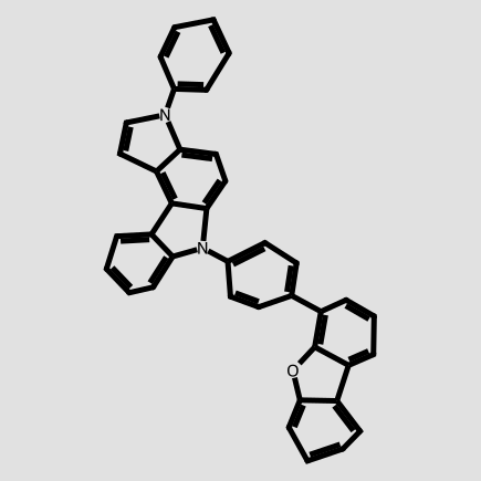 c1ccc(-n2ccc3c4c5ccccc5n(-c5ccc(-c6cccc7c6oc6ccccc67)cc5)c4ccc32)cc1